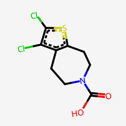 O=C(O)N1CCc2sc(Cl)c(Cl)c2CC1